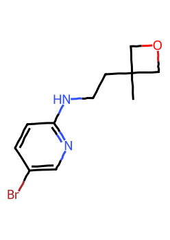 CC1(CCNc2ccc(Br)cn2)COC1